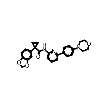 O=C(Nc1cccc(-c2ccc(N3CCOCC3)cc2)n1)C1(c2ccc3c(c2)OCO3)CC1